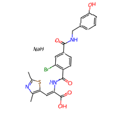 Cc1nc(C)c(/C=C(\NC(=O)c2ccc(C(=O)NCc3cccc(O)c3)cc2Br)C(=O)O)s1.[NaH]